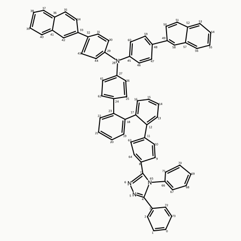 c1ccc(-c2nnc(-c3ccc(-c4ccccc4-c4ccccc4-c4ccc(N(c5ccc(-c6ccc7ccccc7c6)cc5)c5ccc(-c6ccc7ccccc7c6)cc5)cc4)cc3)n2-c2ccccc2)cc1